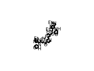 CCc1nc2c(cnn2CC)c(NC2CCOCC2)c1CNC(=O)c1ccnc(-c2cc(C(=O)NCc3c(CC)nc4c(cnn4CC)c3NC3CCOCC3)ccn2)c1